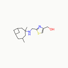 CC1CC2CC(C2)CC(C)(NCc2nc(CO)cs2)C1